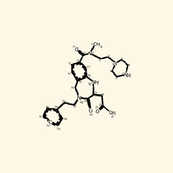 CN(CCN1CCNCC1)C(=O)c1ccc2c(c1)NC(CC(=O)O)C(=O)N(CCc1ccccc1)C2